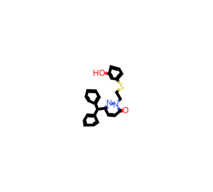 O=c1ccc(C(c2ccccc2)c2ccccc2)nn1CCSc1cccc(O)c1